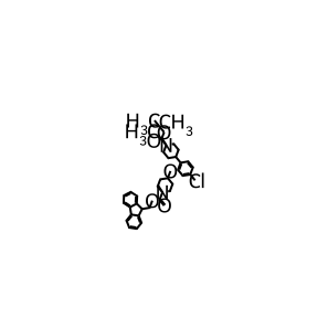 CC(C)(C)OC(=O)N1CCC(c2ccc(Cl)cc2OC2CCN(C(=O)OCC3c4ccccc4-c4ccccc43)CC2)CC1